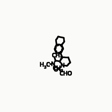 CC(C1C(c2ccc3c(c2)CCCC3)CCCN1C(=O)C=O)N(C)C